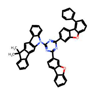 CC1(C)c2ccccc2-c2cc3c(cc21)c1ccccc1n3-c1nc(-c2ccc3c(c2)oc2ccccc23)nc(-c2ccc3c(c2)oc2cccc(-c4ccccc4)c23)n1